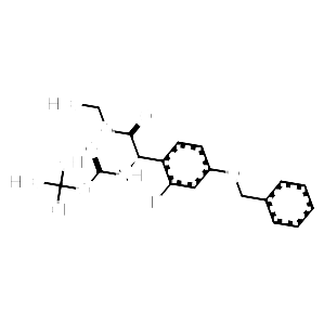 CCOC(=O)[C@H](NC(=O)OC(C)(C)C)c1ccc(OCc2ccccc2)cc1F